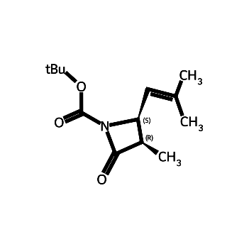 CC(C)=C[C@H]1[C@@H](C)C(=O)N1C(=O)OC(C)(C)C